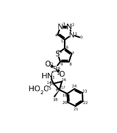 Cn1nncc1-c1ccc(S(=O)(=O)N[C@@]2(C(=O)O)C[C@]2(C)c2ccccc2)s1